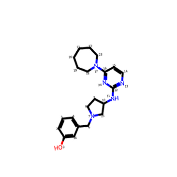 Oc1cccc(CN2CCC(Nc3nccc(N4CCCCCC4)n3)C2)c1